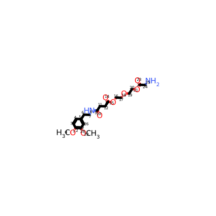 COc1ccc(CCNC(=O)CCC(=O)OCCOCCOC(=O)CN)cc1OC